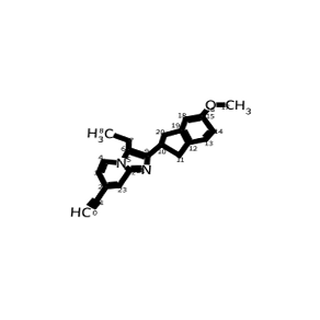 C#Cc1ccn2c(CC)c(C3Cc4ccc(OC)cc4C3)nc2c1